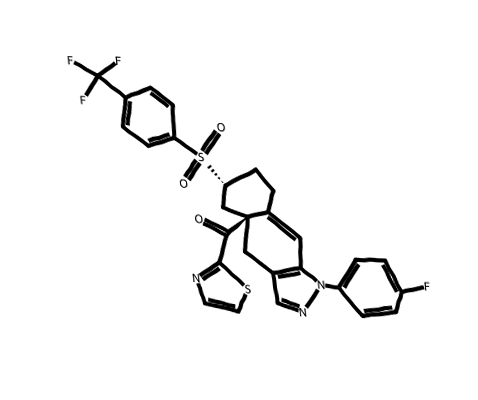 O=C(c1nccs1)[C@]12Cc3cnn(-c4ccc(F)cc4)c3C=C1CC[C@@H](S(=O)(=O)c1ccc(C(F)(F)F)cc1)C2